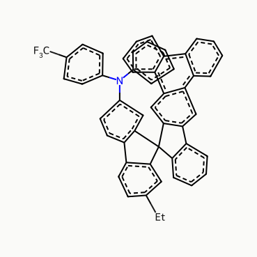 CCc1ccc2c(c1)C1(c3ccccc3-c3cc4c5ccccc5c5ccccc5c4cc31)c1cc(N(c3ccccc3)c3ccc(C(F)(F)F)cc3)ccc1-2